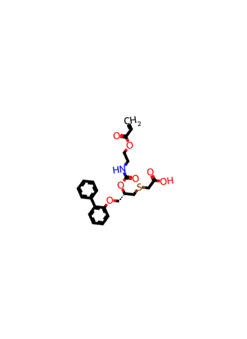 C=CC(=O)OCCNC(=O)O[C@@H](COc1ccccc1-c1ccccc1)CSCC(=O)O